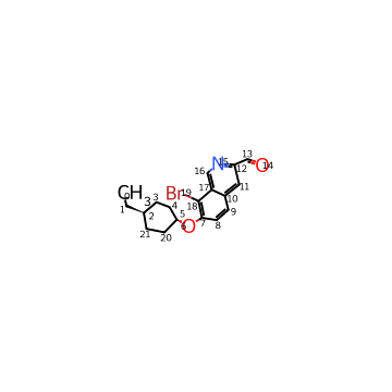 CC[C@H]1CC[C@@H](Oc2ccc3cc(C=O)ncc3c2Br)CC1